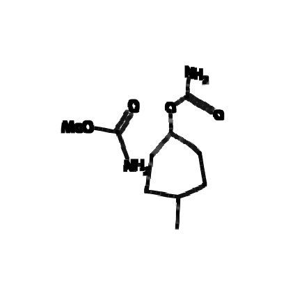 CC1CCC(OC(N)=O)CC1.COC(N)=O